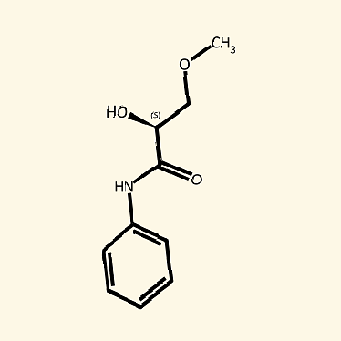 COC[C@H](O)C(=O)Nc1ccccc1